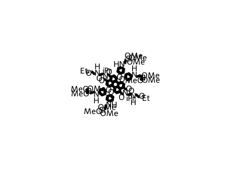 CCOCCNC(=O)C(C(C)C)N1C(=O)c2cc(Oc3ccc(NCC[Si](OC)(OC)OC)cc3)c3c4c(Oc5ccc(NCC[Si](OC)(OC)OC)cc5)cc5c6c(cc(Oc7ccc(NCC[Si](OC)(OC)OC)cc7)c(c7c(Oc8ccc(NCC[Si](OC)(OC)OC)cc8)cc(c2c37)C1=O)c64)C(=O)N(C(C(=O)NCCOCC)C(C)C)C5=O